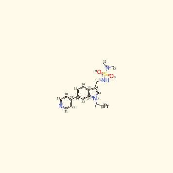 CC(C)Cn1cc(CNS(=O)(=O)N(C)C)c2ccc(-c3ccncc3)cc21